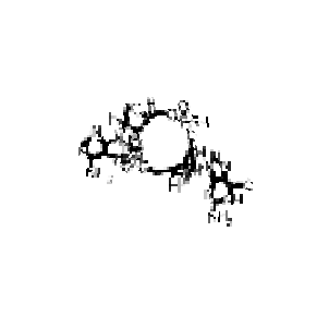 CN1Nc2c(N)ncnc2N1[C@]1(F)CO[C@@H]2COP(=O)(S)O[C@@H]3[C@H](F)[C@@H](COP(=O)(S)O[C@H]21)S[C@H]3n1nnc2c(=O)[nH]c(N)nc21